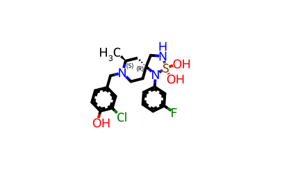 C[C@H]1C[C@]2(CCN1Cc1ccc(O)c(Cl)c1)CNS(O)(O)N2c1cccc(F)c1